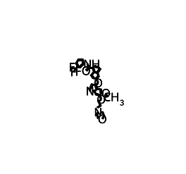 COc1cc2c(Oc3ccc4c(C(=O)Nc5cccc(C(F)(F)F)c5)cccc4c3)ccnc2cc1OCCCN1CCOCC1